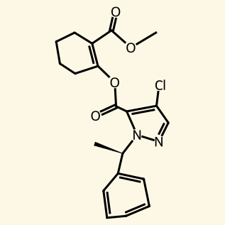 COC(=O)C1=C(OC(=O)c2c(Cl)cnn2[C@H](C)c2ccccc2)CCCC1